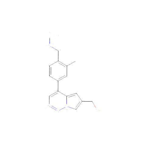 Cc1cc(-c2cnnn3cc(CO)cc23)ccc1CNC(=O)O